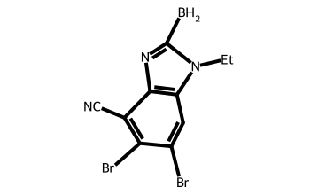 Bc1nc2c(C#N)c(Br)c(Br)cc2n1CC